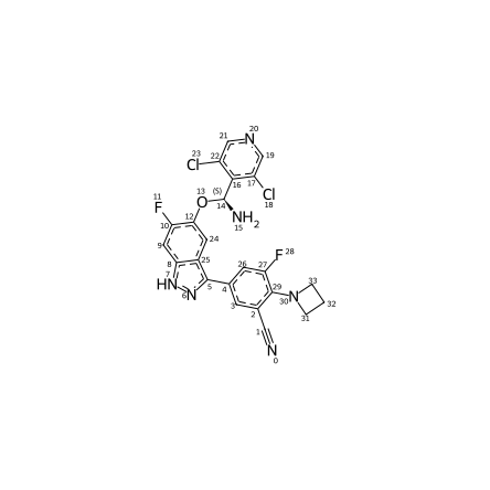 N#Cc1cc(-c2n[nH]c3cc(F)c(O[C@H](N)c4c(Cl)cncc4Cl)cc23)cc(F)c1N1CCC1